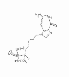 CC(F)(CCCCCn1cnc2c(=O)[nH]c(N)nc21)P(=O)(O)O